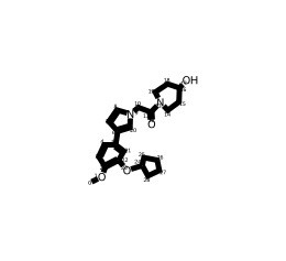 COc1ccc(-c2ccn(CC(=O)N3CCC(O)CC3)c2)cc1OC1CCCC1